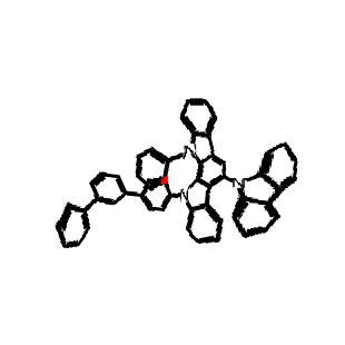 c1ccc(-c2cccc(-c3ccc(-n4c5ccccc5c5c(-n6c7ccccc7c7ccccc76)cc6c7ccccc7n(-c7ccccc7)c6c54)cc3)c2)cc1